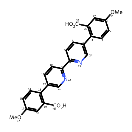 COc1ccc(-c2ccc(-c3ccc(-c4ccc(OC)cc4C(=O)O)cn3)nc2)c(C(=O)O)c1